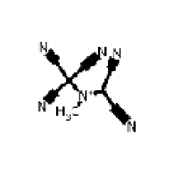 C[N+](C(C#N)C#N)C(C#N)(C#N)C#N